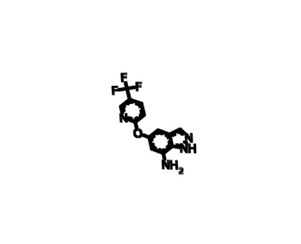 Nc1cc(Oc2ccc(C(F)(F)F)cn2)cc2cn[nH]c12